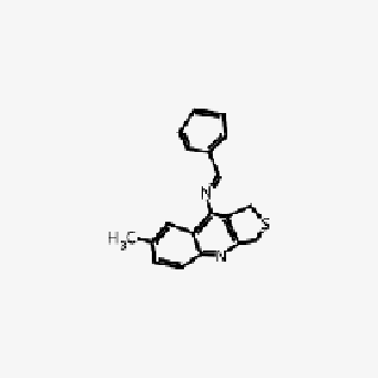 Cc1ccc2nc3c(c(N=Cc4ccccc4)c2c1)CSC3